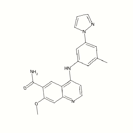 COc1cc2nccc(Nc3cc(C)cc(-n4cccn4)c3)c2cc1C(N)=O